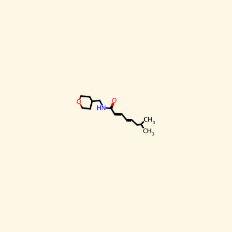 CC(C)C/C=C/C=C/C(=O)NCC1CCOCC1